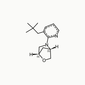 CC(C)(C)Cc1cccnc1N1C[C@@H]2C[C@H]1CO2